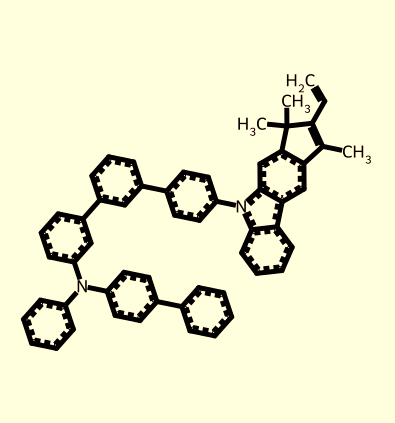 C=CC1=C(C)c2cc3c4ccccc4n(-c4ccc(-c5cccc(-c6cccc(N(c7ccccc7)c7ccc(-c8ccccc8)cc7)c6)c5)cc4)c3cc2C1(C)C